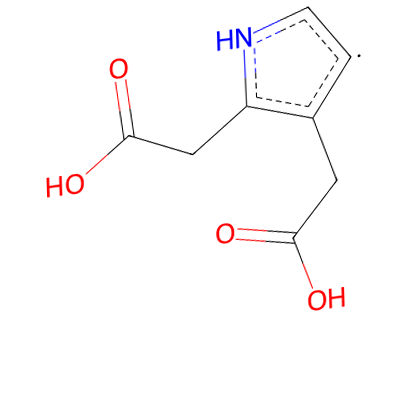 O=C(O)Cc1[c]c[nH]c1CC(=O)O